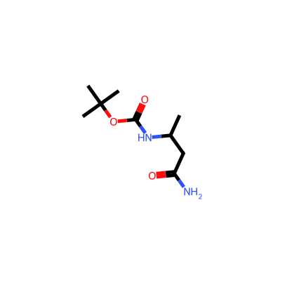 CC(CC(N)=O)NC(=O)OC(C)(C)C